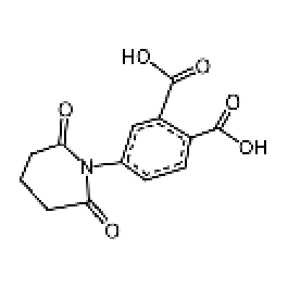 O=C(O)c1ccc(N2C(=O)CCCC2=O)cc1C(=O)O